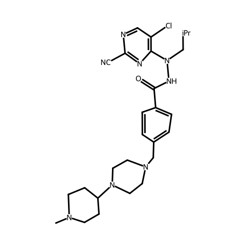 CC(C)CN(NC(=O)c1ccc(CN2CCN(C3CCN(C)CC3)CC2)cc1)c1nc(C#N)ncc1Cl